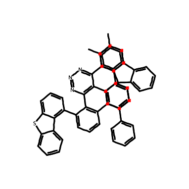 Cc1cc2c(c(-c3nnnc(-c4c(-c5ccccc5-c5ccccc5)cccc4-c4cccc5sc6ccccc6c45)c3-c3ccccc3-c3ccccc3)c1C)Cc1ccccc1-2